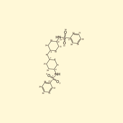 O=S(=O)(NC1CCC(CC2CCC(NS(=O)(=O)c3ccccc3)CC2)CC1)c1ccccc1